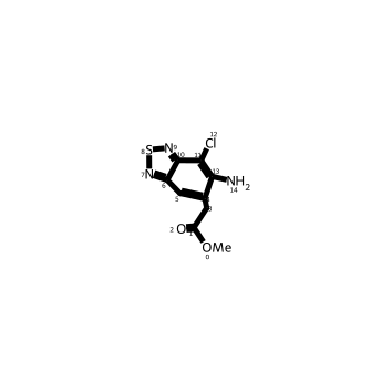 COC(=O)Cc1cc2nsnc2c(Cl)c1N